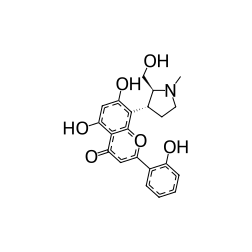 CN1CC[C@H](c2c(O)cc(O)c3c(=O)cc(-c4ccccc4O)oc23)[C@H]1CO